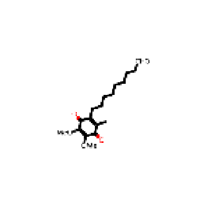 COC1=C(OC)C(=O)C(CCCCCCCCC=O)=C(C)C1=O